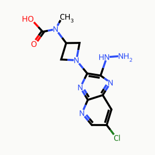 CN(C(=O)O)C1CN(c2nc3ncc(Cl)cc3nc2NN)C1